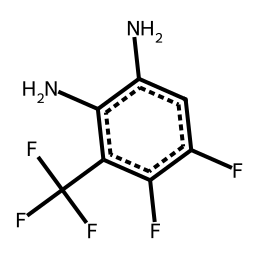 Nc1cc(F)c(F)c(C(F)(F)F)c1N